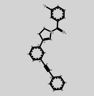 O=C(c1cccc(F)c1)N1C=C(c2cccc(C#Cc3ccccc3)c2)CC1